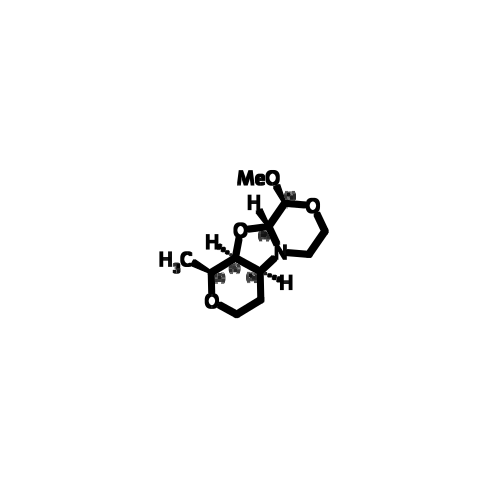 CO[C@H]1OCCN2[C@@H]1O[C@@H]1[C@H](C)OCC[C@@H]12